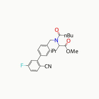 CCCCC(=O)N(Cc1ccc(-c2cc(F)ccc2C#N)cc1)C(C(=O)OC)C(C)C